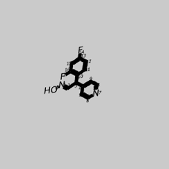 ON=CC(c1ccncc1)c1ccc(F)cc1F